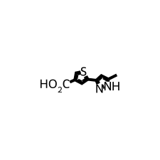 Cc1cc(-c2cc(C(=O)O)cs2)n[nH]1